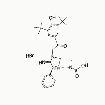 Br.CN(C[C@H]1CN(CC(=O)c2cc(C(C)(C)C)c(O)c(C(C)(C)C)c2)C(=N)[C@@H]1c1ccccc1)C(=O)O